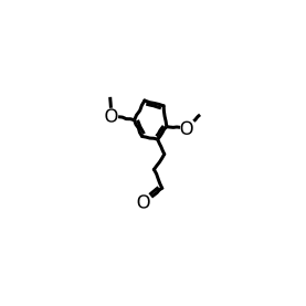 COc1ccc(OC)c(CCC=O)c1